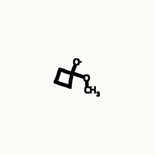 COC1([O])CCC1